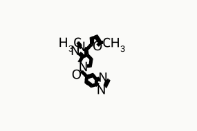 Cc1ccc(-c2c3c(nn2C)CN(C(=O)c2ccc4nccnc4c2)CC3)o1